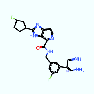 N=C/C(=C\N)c1cc(F)cc(CNC(=O)c2nccc3nc(C4CCC(F)C4)[nH]c23)c1